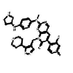 Cc1ccc(-c2cc3cnc(N(C)c4ccc(NC5CCNC5)cc4)nc3n(Cc3cnsc3C3CCOCC3)c2=O)c(Cl)c1